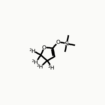 [2H]C1([2H])C=C(O[Si](C)(C)C)OC1([2H])[2H]